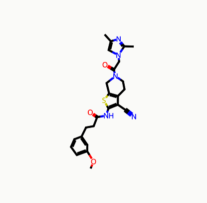 COc1cccc(CCC(=O)Nc2sc3c(c2C#N)CCN(C(=O)Cn2cc(C)nc2C)C3)c1